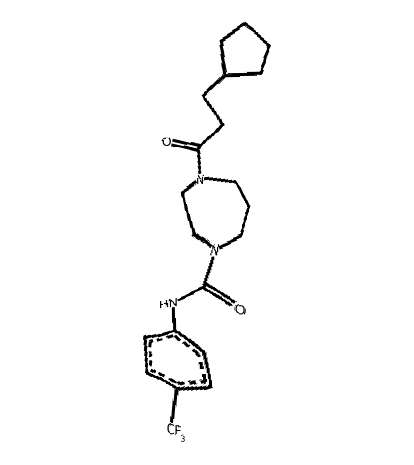 O=C(CCC1CCCC1)N1CCCN(C(=O)Nc2ccc(C(F)(F)F)cc2)CC1